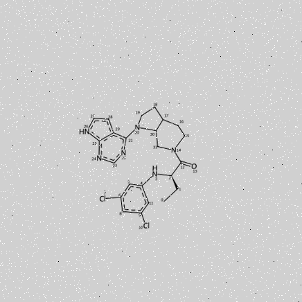 CC[C@@H](Nc1cc(Cl)cc(Cl)c1)C(=O)N1CCC2CCN(c3ncnc4[nH]ccc34)C2C1